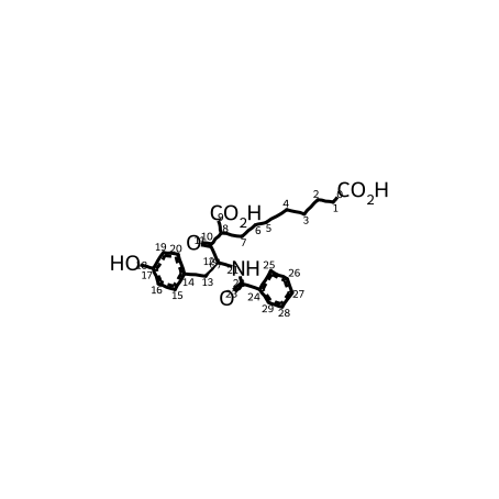 O=C(O)CCCCCCCC(C(=O)O)C(=O)[C@H](Cc1ccc(O)cc1)NC(=O)c1ccccc1